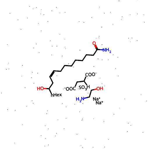 CCCCCCC(O)C/C=C\CCCCCCCC(N)=O.NCCO.O=C([O-])CC(C(=O)[O-])S(=O)(=O)O.[Na+].[Na+]